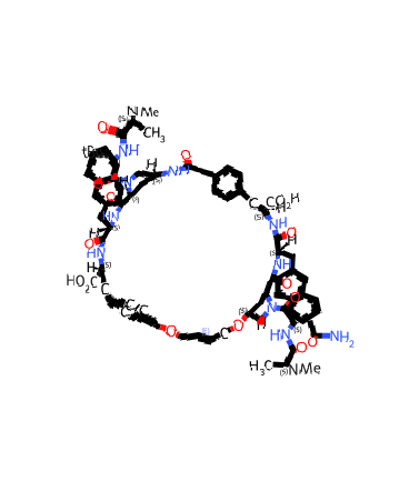 CN[C@@H](C)C(=O)N[C@@H](CC(N)=O)C(=O)N1C[C@@H]2CC1C(=O)N[C@@H](Cc1ccc3ccccc3c1)C(=O)N[C@H](C(=O)O)Cc1ccc(cc1)C(=O)N[C@H]1C[C@@H](C(=O)N[C@@H](Cc3ccc4ccccc4c3)C(=O)N[C@H](C(=O)O)Cc3ccc(cc3)OC/C=C/CO2)N(C(=O)[C@@H](NC(=O)[C@H](C)NC)C(C)(C)C)C1